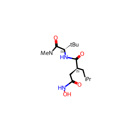 CNC(=O)[C@@H](NC(=O)[C@H](CC(=O)NO)CC(C)C)C(C)(C)C